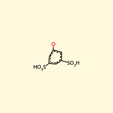 [O]c1cc(S(=O)(=O)O)cc(S(=O)(=O)O)c1